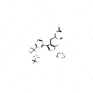 C=NC(Cc1c(-c2cccc(C3(O[Si](C)(C)C(C)(C)C)COC3)n2)cn([C@@H]2CCOC2)c1C)NC(N)=O